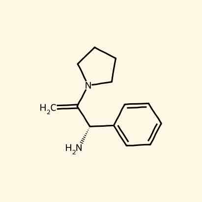 C=C([C@@H](N)c1ccccc1)N1CCCC1